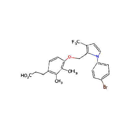 Cc1c(CCC(=O)O)ccc(OCc2c(C(F)(F)F)ccn2-c2ccc(Br)cc2)c1C